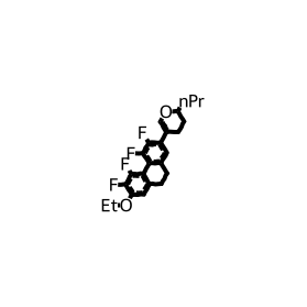 CCCC1CCC(c2cc3c(c(F)c2F)-c2c(cc(OCC)c(F)c2F)CC3)=CO1